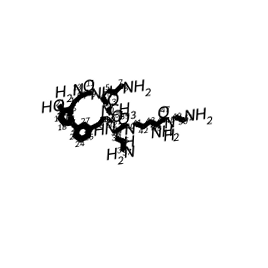 CN1C(=O)[C@H](CCCN)NC(=O)[C@@H](N)Cc2cc(ccc2O)-c2cccc(c2)C[C@H]1C(=O)N[C@H](CCCN)C(=O)NCCC[C@H](N)C(=O)NCCN